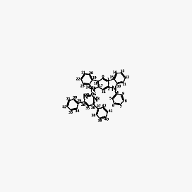 C1=c2c(n(-c3ccccc3)c3ccccc23)=CC2C1c1ccccc1N2c1nc(-c2ccccc2)cc(-c2ccccc2)n1